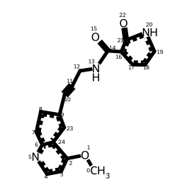 COc1ccnc2ccc(C#CCNC(=O)c3ccc[nH]c3=O)cc12